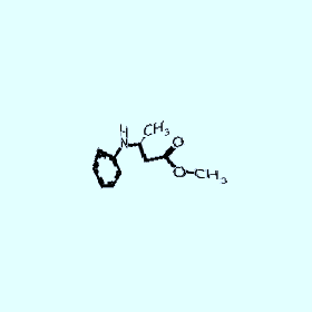 COC(=O)C[C@@H](C)Nc1ccccc1